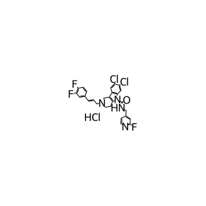 Cl.O=C(NCc1ccnc(F)c1)n1c2c(c3cc(Cl)c(Cl)cc31)CN(C/C=C/c1ccc(F)c(F)c1)CC2